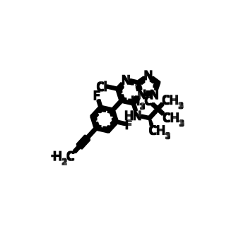 [CH2]C#Cc1cc(F)c(-c2c(Cl)nc3ncnn3c2N[C@H](C)C(C)(C)C)c(F)c1